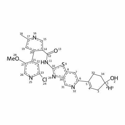 [2H]C1(O)CC=C(c2cc3sc(NC(=O)c4cnc(C)cc4-c4cc(Cl)ncc4OC)nc3cn2)CC1